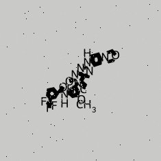 CCc1c2cnc(Nc3ccc(N4CCOCC4)cc3)nc2nc(=O)n1-c1cc(NC(=O)c2cccc(C(F)(F)F)c2)cc(OC)c1